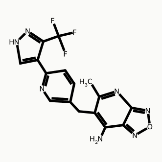 Cc1nc2nonc2c(N)c1Cc1ccc(-c2c[nH]nc2C(F)(F)F)nc1